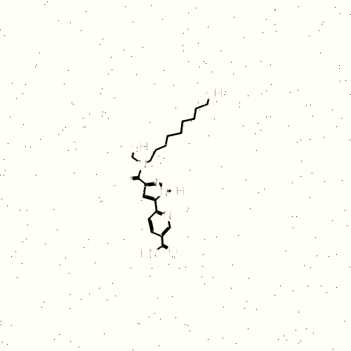 CCCCCCCCCCN(CC)C(=O)c1cc(-c2ccc(C(N)=O)cn2)n(C)n1